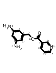 Nc1cc(N)cc(COC(=O)c2cccnc2)c1